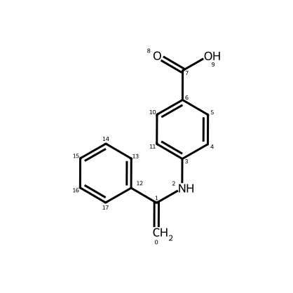 C=C(Nc1ccc(C(=O)O)cc1)c1ccccc1